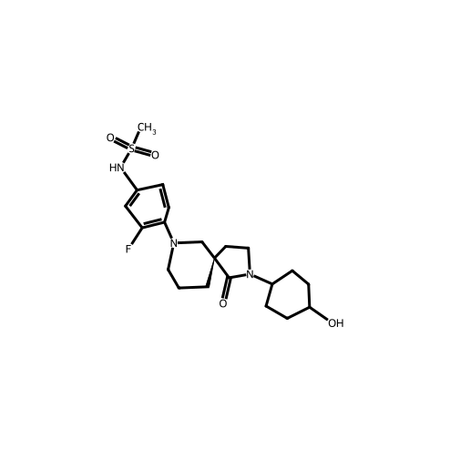 CS(=O)(=O)Nc1ccc(N2CCC[C@]3(CCN(C4CCC(O)CC4)C3=O)C2)c(F)c1